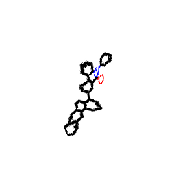 O=c1c2cc(-c3cccc4c3ccc3cc5ccccc5cc34)ccc2c2ccccc2n1-c1ccccc1